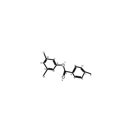 Cc1ccc(C(=O)Oc2cc(C)cc(C)c2)cc1